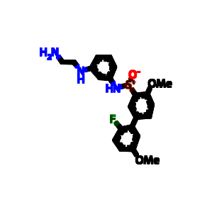 COc1ccc(F)c(-c2ccc(OC)c([S+]([O-])Nc3cccc(NCCN)c3)c2)c1